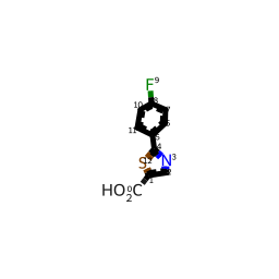 O=C(O)c1cnc(-c2ccc(F)cc2)s1